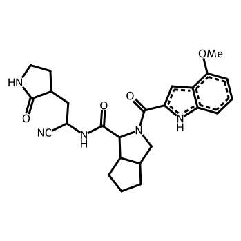 COc1cccc2[nH]c(C(=O)N3CC4CCCC4C3C(=O)NC(C#N)CC3CCNC3=O)cc12